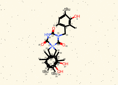 Cc1cc(C(C)(C)C)c(O)c(C)c1CN1C(=O)NC(=O)[N+](Cc2c(C)cc(C(C)(C)C)c(O)c2C)(Cc2c(C)cc(C(C)(C)C)c(O)c2C)C1=O